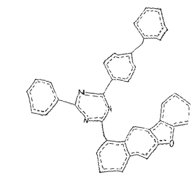 c1ccc(-c2ccc(-c3nc(-c4ccccc4)nc(-c4cccc5cc6oc7ccccc7c6cc45)n3)cc2)cc1